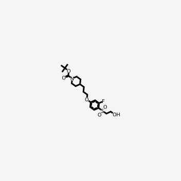 CC(C)(C)OC(=O)N1CCC(CCCOc2ccc(S(=O)(=O)CCO)c(F)c2)CC1